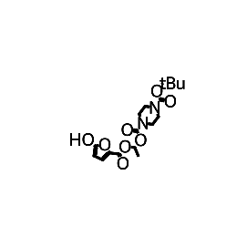 CC(OC(=O)c1ccc(O)o1)OC(=O)N1CCN(C(=O)OC(C)(C)C)CC1